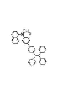 CN(c1ccc(-c2ccc(C(=C(c3ccccc3)c3ccccc3)c3ccccc3)cc2)cc1)c1cccc2ccccc12